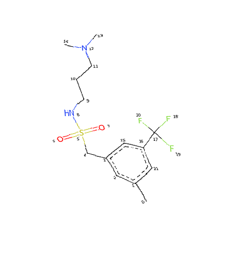 Cc1cc(CS(=O)(=O)NCCCN(C)C)cc(C(F)(F)F)c1